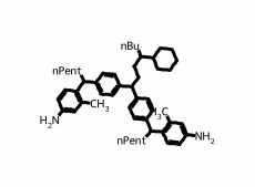 CCCCCC(c1ccc(C(CCC(CCCC)C2CCCCC2)c2ccc(C(CCCCC)c3ccc(N)cc3C)cc2)cc1)c1ccc(N)cc1C